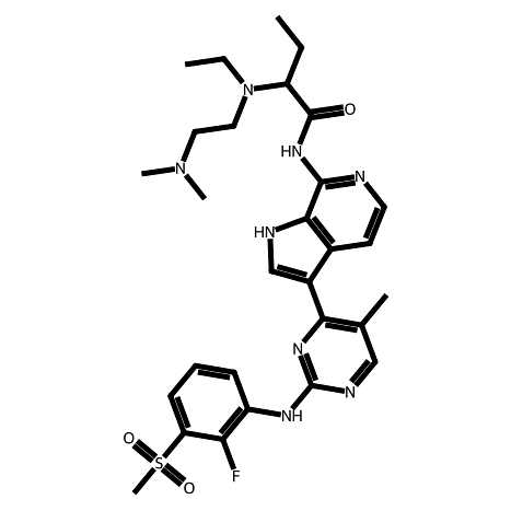 CCC(C(=O)Nc1nccc2c(-c3nc(Nc4cccc(S(C)(=O)=O)c4F)ncc3C)c[nH]c12)N(CC)CCN(C)C